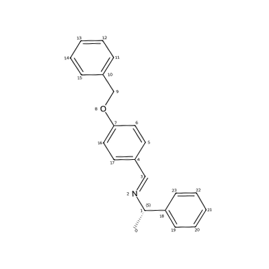 C[C@H](N=Cc1ccc(OCc2ccccc2)cc1)c1ccccc1